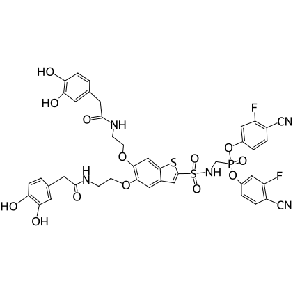 N#Cc1ccc(OP(=O)(CNS(=O)(=O)c2cc3cc(OCCNC(=O)Cc4ccc(O)c(O)c4)c(OCCNC(=O)Cc4ccc(O)c(O)c4)cc3s2)Oc2ccc(C#N)c(F)c2)cc1F